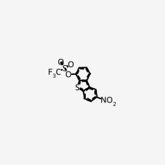 O=[N+]([O-])c1ccc2sc3c(OS(=O)(=O)C(F)(F)F)cccc3c2c1